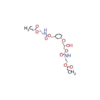 C=CC(=O)OCCNC(=O)OCc1cccc(OCC(O)COC(=O)NCCOC(=O)C=C)c1